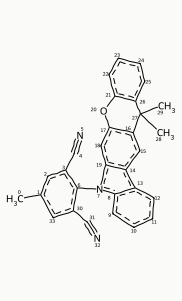 Cc1cc(C#N)c(-n2c3ccccc3c3cc4c(cc32)Oc2ccccc2C4(C)C)c(C#N)c1